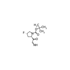 CC(C)(C)OC(=O)N1C[C@@H](F)C[C@@H]1C(=O)C=N